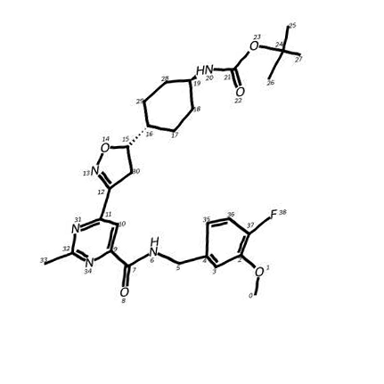 COc1cc(CNC(=O)c2cc(C3=NOC([C@H]4CC[C@H](NC(=O)OC(C)(C)C)CC4)C3)nc(C)n2)ccc1F